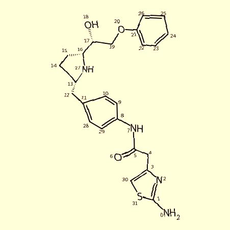 Nc1nc(CC(=O)Nc2ccc(C[C@@H]3CC[C@H]([C@H](O)COc4ccccc4)N3)cc2)cs1